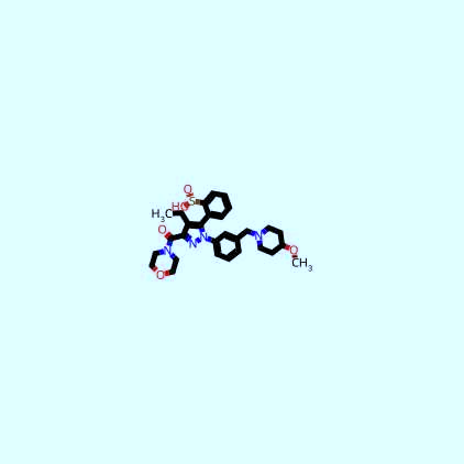 CCc1c(C(=O)N2CCOCC2)nn(-c2cccc(CN3CCC(OC)CC3)c2)c1-c1ccccc1S(=O)O